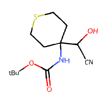 CC(C)(C)OC(=O)NC1(C(O)C#N)CCSCC1